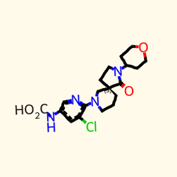 O=C(O)Nc1cnc(N2CCC[C@]3(CCN(C4CCOCC4)C3=O)C2)c(Cl)c1